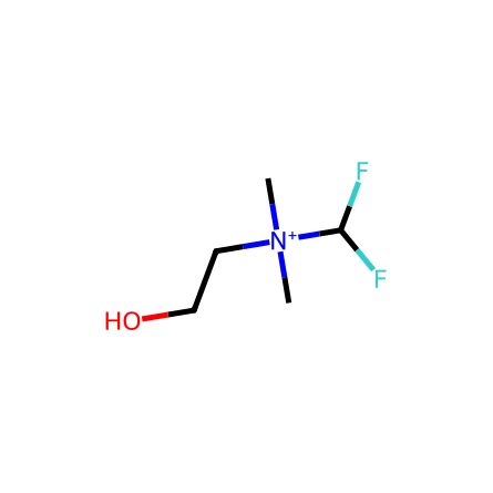 C[N+](C)(CCO)C(F)F